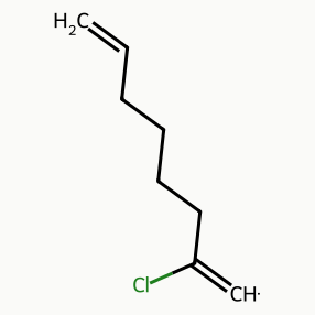 [CH]=C(Cl)CCCCC=C